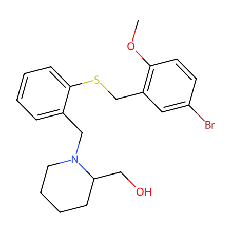 COc1ccc(Br)cc1CSc1ccccc1CN1CCCCC1CO